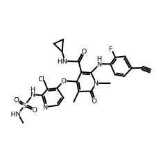 C#Cc1ccc(Nc2c(C(=O)NC3CC3)c(Oc3ccnc(NS(=O)(=O)NC)c3Cl)c(C)c(=O)n2C)c(F)c1